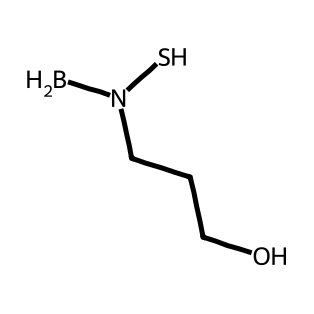 BN(S)CCCO